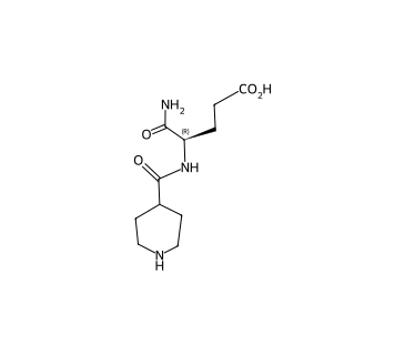 NC(=O)[C@@H](CCC(=O)O)NC(=O)C1CCNCC1